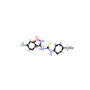 COc1ccc(NC(=S)Nc2noc3cc(Cl)ccc23)cc1